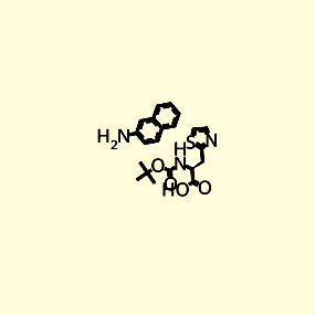 CC(C)(C)OC(=O)N[C@@H](Cc1nccs1)C(=O)O.Nc1ccc2ccccc2c1